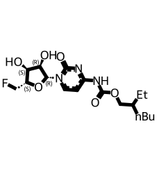 CCCCC(CC)COC(=O)Nc1ccn([C@@H]2O[C@H](CF)[C@@H](O)[C@H]2O)c(=O)n1